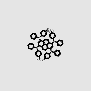 Cc1ccc(N(C2=CC(N(c3ccccc3)c3ccc(C)cc3)c3ccc4c5c(ccc2c35)C(N(c2ccccc2)c2ccc(C)cc2)C=C4N(c2ccccc2)c2ccc(C)cc2)c2ccccc2)cc1